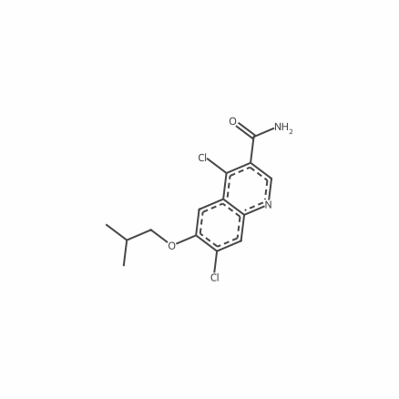 CC(C)COc1cc2c(Cl)c(C(N)=O)cnc2cc1Cl